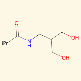 CC(C)C(=O)NCC(CO)CO